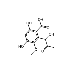 COc1c(O)cc(O)c(C(=O)O)c1C(O)C(C)=O